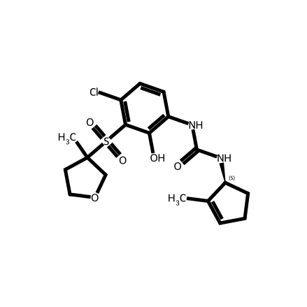 CC1=CCC[C@@H]1NC(=O)Nc1ccc(Cl)c(S(=O)(=O)C2(C)CCOC2)c1O